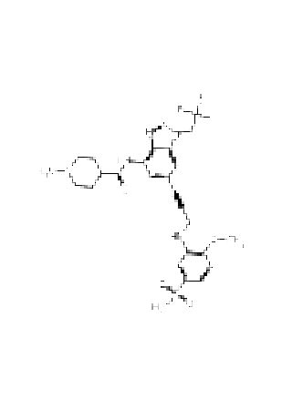 COc1ccc(S(C)(=O)=O)cc1NCC#Cc1cc(NC(=O)C2CCN(C)CC2)c2ncn(CC(F)(F)F)c2c1